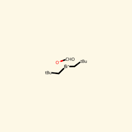 CC(C)(C)[CH2][Bi+][CH2]C(C)(C)C.O=C[O-]